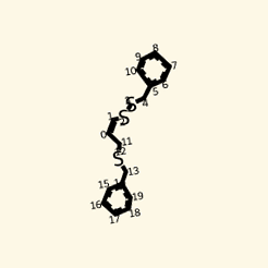 C(=C/SSCc1ccccc1)/CSCc1ccccc1